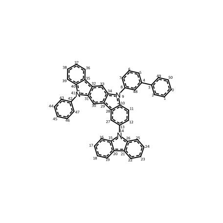 c1ccc(-c2cccc(-n3c4ccc(-n5c6ccccc6c6ccccc65)cc4c4cc5c(cc43)c3ccccc3n5-c3ccccc3)c2)cc1